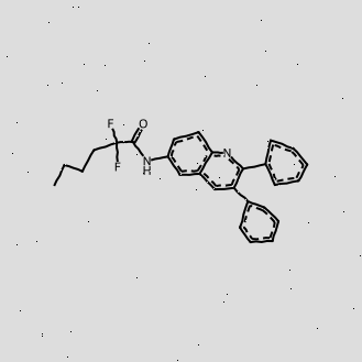 CCCCC(F)(F)C(=O)Nc1ccc2nc(-c3ccccc3)c(-c3ccccc3)cc2c1